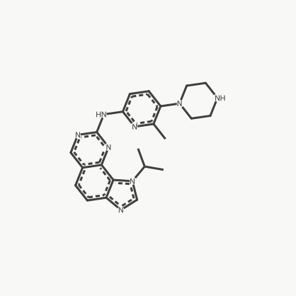 Cc1nc(Nc2ncc3ccc4ncn(C(C)C)c4c3n2)ccc1N1CCNCC1